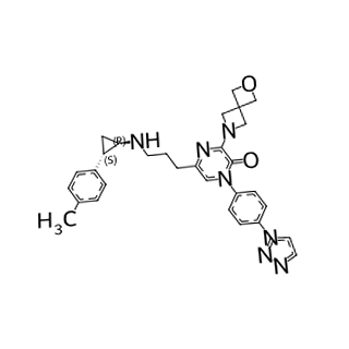 Cc1ccc([C@@H]2C[C@H]2NCCCc2cn(-c3ccc(-n4ccnn4)cc3)c(=O)c(N3CC4(COC4)C3)n2)cc1